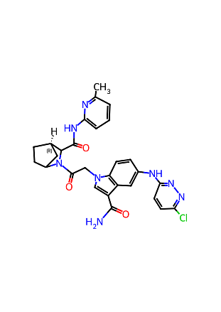 Cc1cccc(NC(=O)C2[C@@H]3CCC(C3)N2C(=O)Cn2cc(C(N)=O)c3cc(Nc4ccc(Cl)nn4)ccc32)n1